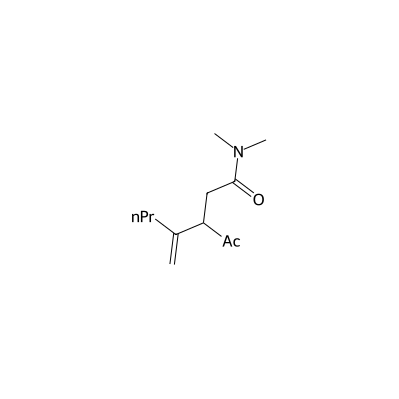 C=C(CCC)C(CC(=O)N(C)C)C(C)=O